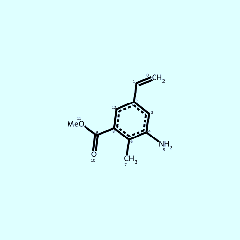 C=Cc1cc(N)c(C)c(C(=O)OC)c1